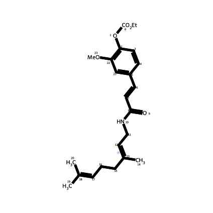 CCOC(=O)Oc1ccc(C=CC(=O)NC/C=C(\C)CCC=C(C)C)cc1OC